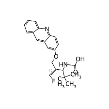 CC(C)(C)C(NC(=O)O)/C(=C\F)COc1ccc2nc3ccccc3cc2c1